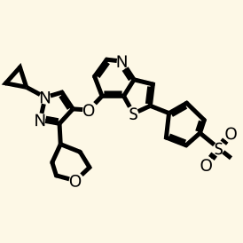 CS(=O)(=O)c1ccc(-c2cc3nccc(Oc4cn(C5CC5)nc4C4CCOCC4)c3s2)cc1